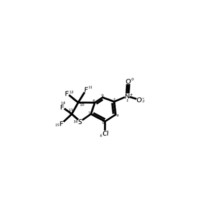 O=[N+]([O-])c1cc(Cl)c2c(c1)C(F)(F)C(F)(F)S2